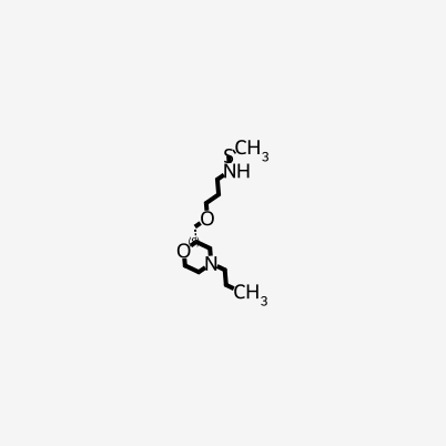 CCCN1CCO[C@H](COCCCNSC)C1